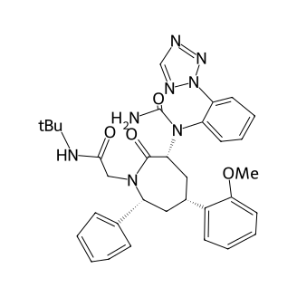 COc1ccccc1[C@@H]1C[C@H](c2ccccc2)N(CC(=O)NC(C)(C)C)C(=O)[C@H](N(C(N)=O)c2ccccc2-n2ncnn2)C1